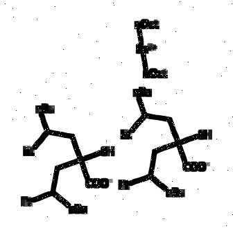 CCCCC(CC)CC(S)(CC(CC)CCCC)C(=O)[O-].CCCCC(CC)CC(S)(CC(CC)CCCC)C(=O)[O-].CCCCCCC[CH2][Sn+2][CH2]CCCCCCC